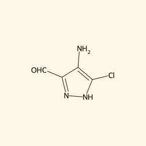 Nc1c(C=O)n[nH]c1Cl